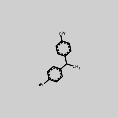 CCCc1ccc(C(C)c2ccc(CCC)cc2)cc1